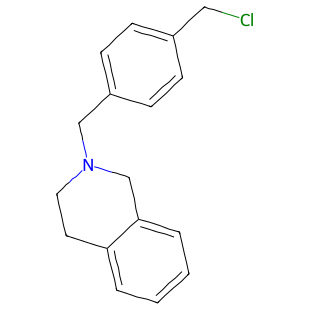 ClCc1ccc(CN2CCc3ccccc3C2)cc1